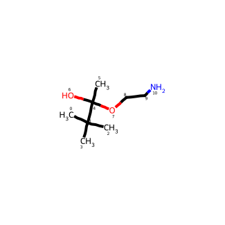 CC(C)(C)C(C)(O)OCCN